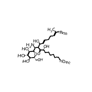 CCCCCCCCCCCCCCCC[C@@H](O)C(=O)C(C(O)C=CCCC=C(C)CCCCCCCCC)C(N)C1O[C@H](CO)[C@@H](O)[C@H](O)[C@H]1O